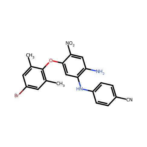 Cc1cc(Br)cc(C)c1Oc1cc(Nc2ccc(C#N)cc2)c(N)cc1[N+](=O)[O-]